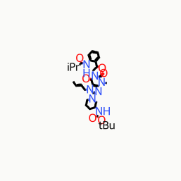 C/C=C/Cn1c(N2CCCC(NC(=O)OC(C)(C)C)C2)nc2c1c(=O)n(CC(=O)c1ccccc1NC(=O)C(C)C)c(=O)n2C